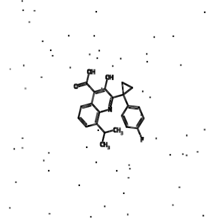 CC(C)c1cccc2c(C(=O)O)c(O)c(C3(c4ccc(F)cc4)CC3)nc12